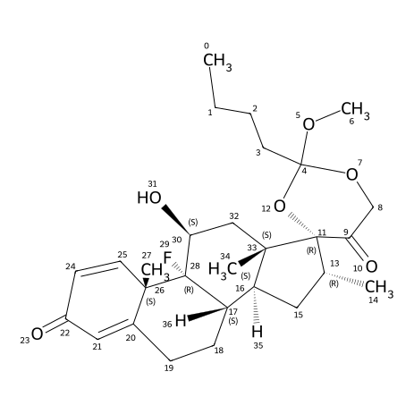 CCCCC1(OC)OCC(=O)[C@@]2(O1)[C@H](C)C[C@H]1[C@@H]3CCC4=CC(=O)C=C[C@]4(C)[C@@]3(F)[C@@H](O)C[C@@]12C